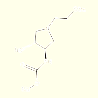 COCCN1C[C@@H](O)[C@H](NC(=O)OC(C)(C)C)C1